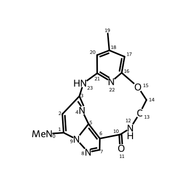 CNc1cc2nc3c(cnn13)C(=O)NCCOc1cc(C)cc(n1)N2